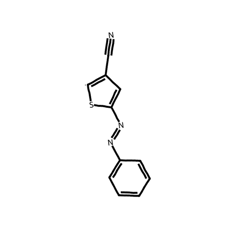 N#Cc1[c]sc(N=Nc2ccccc2)c1